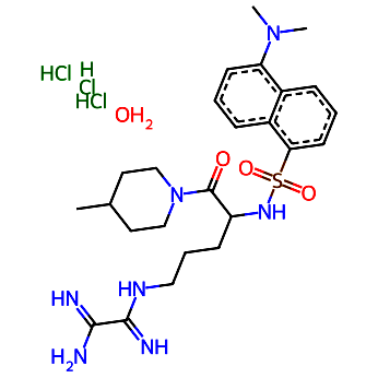 CC1CCN(C(=O)C(CCCNC(=N)C(=N)N)NS(=O)(=O)c2cccc3c(N(C)C)cccc23)CC1.Cl.Cl.Cl.O